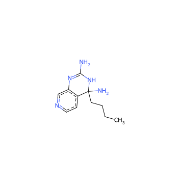 CCCCC1(N)NC(N)=Nc2cnccc21